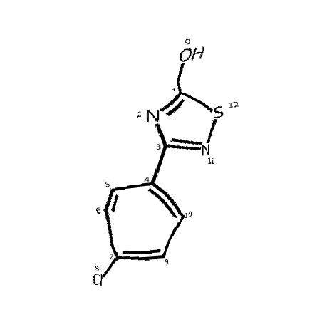 Oc1nc(-c2ccc(Cl)cc2)ns1